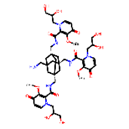 CCCCOc1c(C(=O)NC[C@]23CC4(CN)C[C@](CNC(=O)c5c(OCCCC)c(=O)ccn5CC(O)CO)(C2)C[C@@](CNC(=O)c2c(OCCCC)c(=O)ccn2CC(O)CO)(C4)C3)n(CC(O)CO)ccc1=O